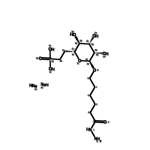 NNC(=O)CCCCCO[C@H]1O[C@H](CCP(=O)(O)O)[C@@H](O)[C@H](O)[C@@H]1O.[NaH].[NaH]